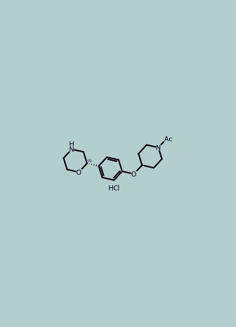 CC(=O)N1CCC(Oc2ccc([C@H]3CNCCO3)cc2)CC1.Cl